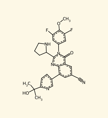 COc1c(F)cc(-n2c(C3CCCN3)nc3c(-c4ccc(C(C)(C)O)nc4)cc(C#N)cc3c2=O)cc1F